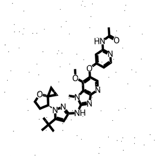 COc1c(Oc2ccnc(NC(C)=O)c2)cnc2nc(Nc3cc(C(C)(C)C)n([C@@H]4CCOC45CC5)n3)n(C)c12